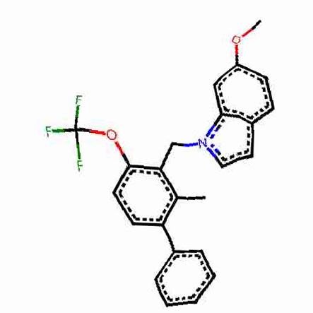 COc1ccc2ccn(Cc3c(OC(F)(F)F)ccc(-c4ccccc4)c3C)c2c1